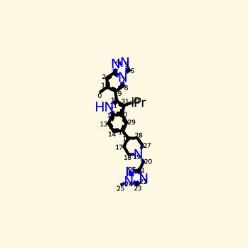 Cc1cc2nncn2cc1-c1[nH]c2ccc(C3CCN(Cc4ncn(C)n4)CC3)cc2c1C(C)C